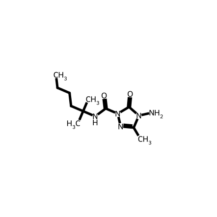 CCCCC(C)(C)NC(=O)n1nc(C)n(N)c1=O